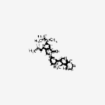 CNCc1nc(N(C)C(C)C)cc2c1CN(c1cccc(-c3cnc4c(c3C)NCCO4)n1)C2=O